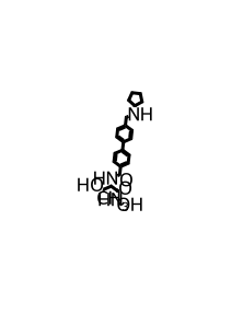 C[C@@H](O)[C@H](NC(=O)c1ccc(-c2ccc(CNC3CCCC3)cc2)cc1)C(=O)NO